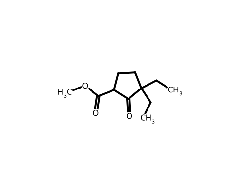 CCC1(CC)CCC(C(=O)OC)C1=O